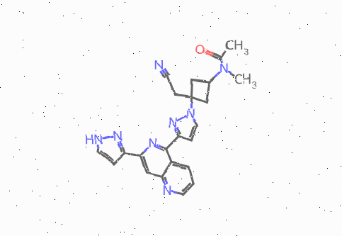 CC(=O)N(C)C1CC(CC#N)(n2ccc(-c3nc(-c4cc[nH]n4)cc4ncccc34)n2)C1